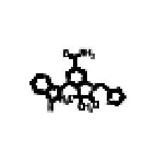 CC1(C)C(=O)N(Cc2cccs2)c2cc(C(N)=O)cc(-c3c[nH]c4ccccc34)c21